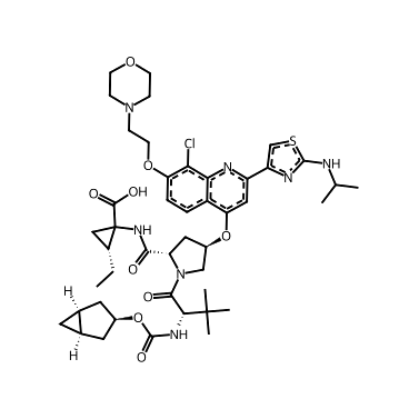 CC[C@@H]1CC1(NC(=O)[C@@H]1C[C@@H](Oc2cc(-c3csc(NC(C)C)n3)nc3c(Cl)c(OCCN4CCOCC4)ccc23)CN1C(=O)[C@@H](NC(=O)O[C@@H]1C[C@@H]2C[C@@H]2C1)C(C)(C)C)C(=O)O